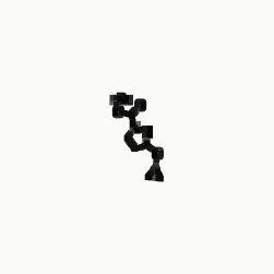 CCCCOC(=O)n1ccc(OC2CC2)n1